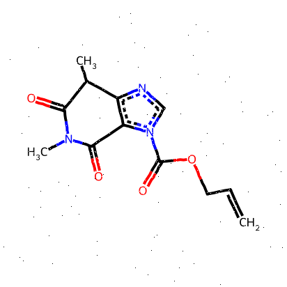 C=CCOC(=O)n1cnc2c1C(=O)N(C)C(=O)C2C